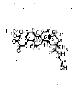 CO[C@]1(C)C(=O)C(=O)C=C2C1=CC=C1[C@@]2(C)CC[C@@]2(C)[C@@H]3C[C@](C)(C(=O)NCCO)CC[C@]3(C)CC[C@]12C